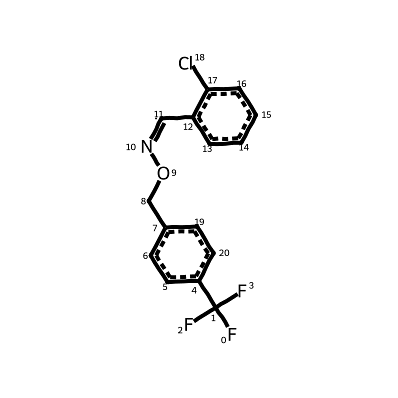 FC(F)(F)c1ccc(CO/N=[C]\c2ccccc2Cl)cc1